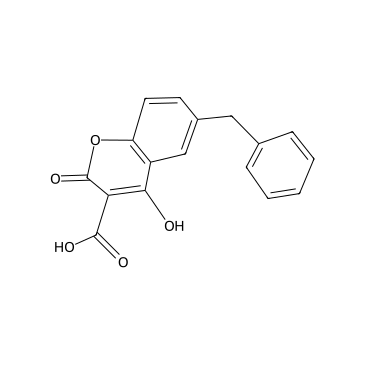 O=C(O)c1c(O)c2cc(Cc3ccccc3)ccc2oc1=O